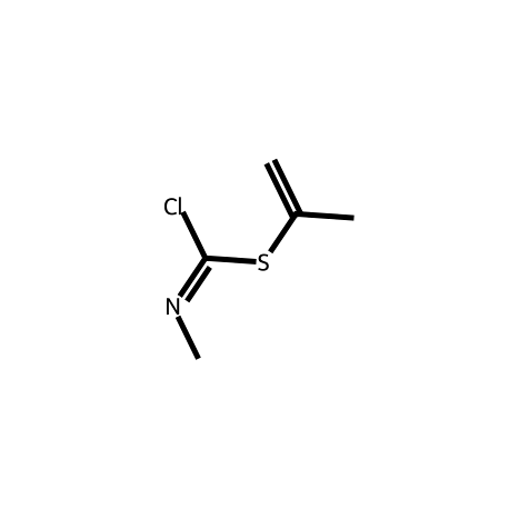 C=C(C)S/C(Cl)=N\C